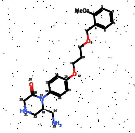 COc1ccccc1COCCCOc1ccc(N2C(=O)CNC[C@H]2CN)cc1